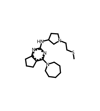 CSCCN1CCC(Nc2nc3c(c(N4CCCCCC4)n2)CCC3)C1